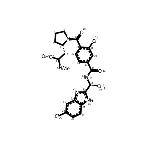 CNC(C=O)C[C@@H]1CCCN1C(=O)c1ccc(C(=O)N[C@@H](C)c2nc3cc(Cl)ccc3[nH]2)cc1Cl